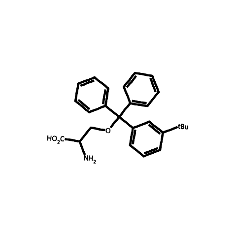 CC(C)(C)c1cccc(C(OCC(N)C(=O)O)(c2ccccc2)c2ccccc2)c1